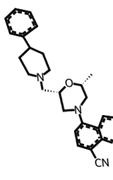 C[C@@H]1CN(c2ccc(C#N)c3ncccc23)C[C@H](CN2CCC(c3ccccc3)CC2)O1